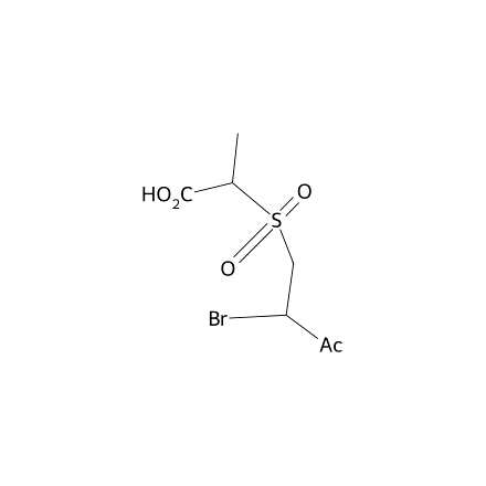 CC(=O)C(Br)CS(=O)(=O)C(C)C(=O)O